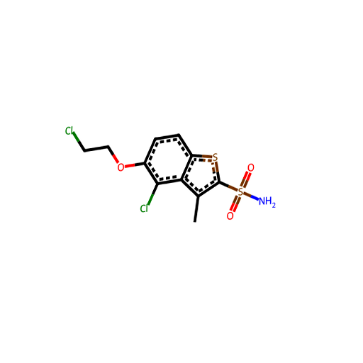 Cc1c(S(N)(=O)=O)sc2ccc(OCCCl)c(Cl)c12